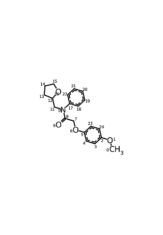 COc1ccc(OCC(=O)N(CC2CCCO2)c2ccccc2)cc1